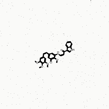 COc1cc(/C=C\c2cc(Cl)c(OC)c(N/C=C\C(=O)c3c[nH]c4ccccc34)c2)cc(OC)c1OC